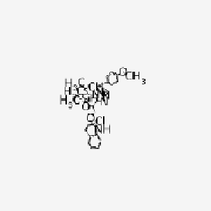 COc1ccc(Cn2nnc(C(COC3(Cl)C=Cc4ccccc4N3)O[SiH](C)CC(C)(C)C)n2)cc1